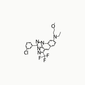 CCN(CCOC)c1ccc(/C=c2/c(C(F)(F)F)nn3c(-c4cccc(Cl)c4)nnc23)c(C)c1